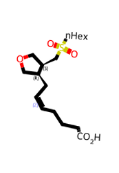 CCCCCCS(=O)(=O)C[C@@H]1COC[C@@H]1C/C=C\CCCC(=O)O